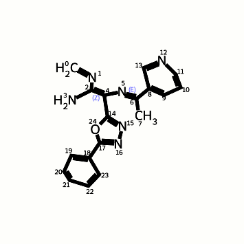 C=N/C(N)=C(\N=C(/C)c1cccnc1)c1nnc(-c2ccccc2)o1